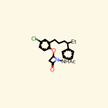 CCC(CCCc1cc(Cl)ccc1OC1CC(=O)N1NC(C)=O)c1ccccc1